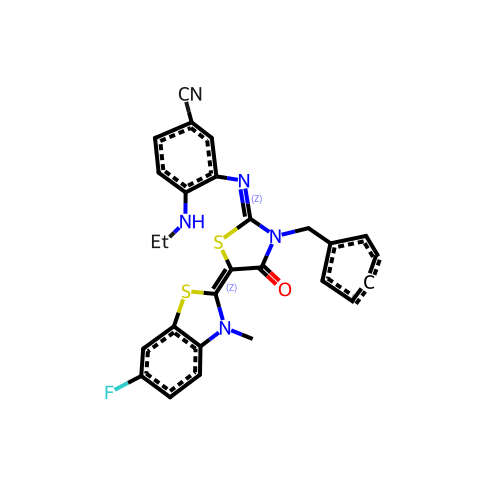 CCNc1ccc(C#N)cc1/N=C1\S/C(=C2\Sc3cc(F)ccc3N2C)C(=O)N1Cc1ccccc1